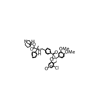 COc1ccc([C@H](Cc2c(Cl)c[n+]([O-])cc2Cl)OC(=O)c2ccc(CNC(C)(C(=O)O[C@H]3CN4CCC3CC4)c3ccccc3)cc2)cc1OC